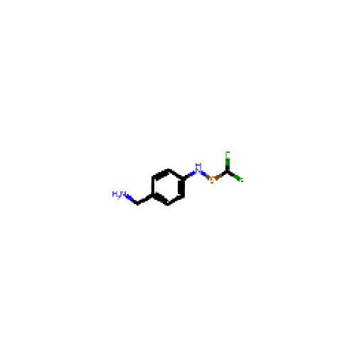 NCc1ccc(NSC(F)F)cc1